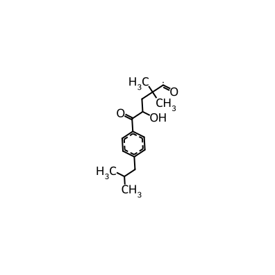 CC(C)Cc1ccc(C(=O)C(O)CC(C)(C)[C]=O)cc1